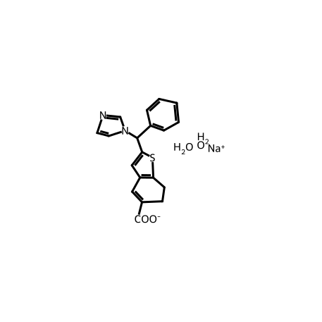 O.O.O=C([O-])C1=Cc2cc(C(c3ccccc3)n3ccnc3)sc2CC1.[Na+]